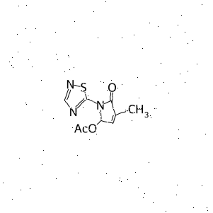 CC(=O)OC1C=C(C)C(=O)N1c1ncns1